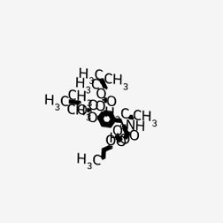 CCCCOC(=O)O[C@](Cc1ccc(OC(=O)OCC(C)(C)C)c(OC(=O)OCC(C)(C)C)c1)(NC(C)C)C(=O)O